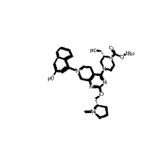 CN1CCC[C@H]1COc1nc2c(c(N3CCN(C(=O)OC(C)(C)C)[C@@H](CC#N)C3)n1)CCN(c1cc(O)cc3ccccc13)C2